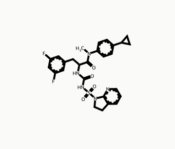 CN(C(=O)C(Cc1cc(F)cc(F)c1)NC(=O)NS(=O)(=O)N1CCc2cccnc21)c1ccc(C2CC2)cc1